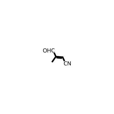 CC(C=O)=CC#N